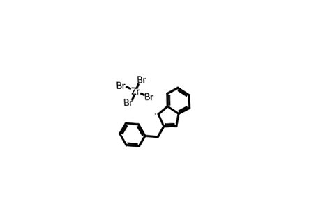 [Br][Zr]([Br])([Br])[Br].[CH]1C(Cc2ccccc2)=Cc2ccccc21